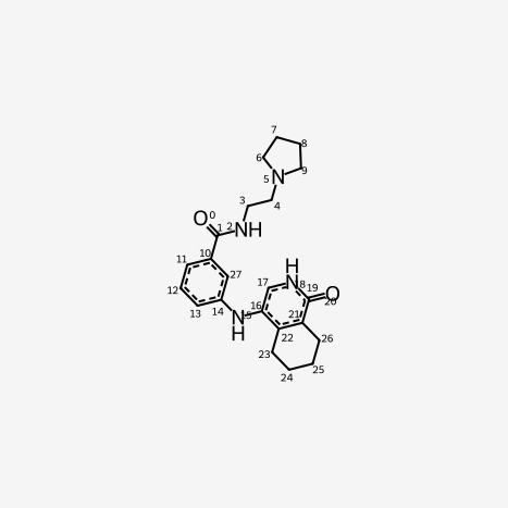 O=C(NCCN1CCCC1)c1cccc(Nc2c[nH]c(=O)c3c2CCCC3)c1